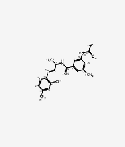 Cc1cc(C(=N)N[C@H](C)COc2ncc(C(F)(F)F)cc2Cl)cc(NC(=O)C(C)C)n1